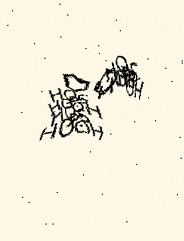 Br.OP(O)(O)=S.OP(O)(O)=S.OP(O)(O)=S.c1ccccc1.c1ccccc1